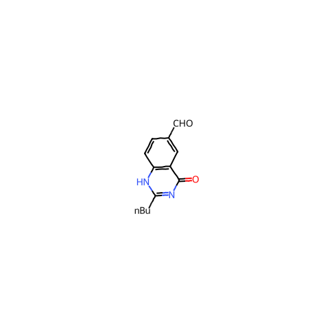 CCCCc1nc(=O)c2cc(C=O)ccc2[nH]1